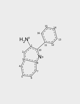 Nc1cc2ccccc2nc1-c1ccccc1